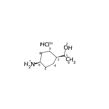 CC(O)[C@H]1CC[C@@H](N)CC1.Cl